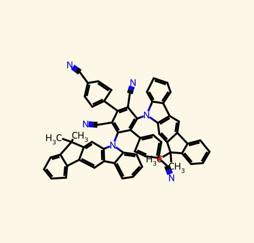 CC1(C)c2ccccc2-c2cc3c4ccccc4n(-c4c(C#N)c(-c5ccc(C#N)cc5)c(C#N)c(-n5c6ccccc6c6cc7c(cc65)C(C)(C)c5ccccc5-7)c4-c4ccc(C#N)cc4)c3cc21